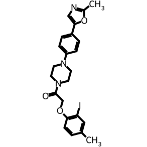 Cc1ccc(OCC(=O)N2CCN(c3ccc(-c4cnc(C)o4)cc3)CC2)c(I)c1